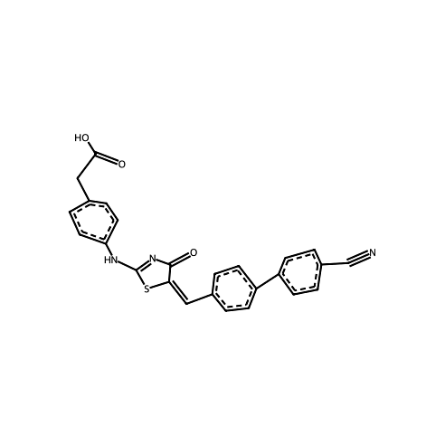 N#Cc1ccc(-c2ccc(C=C3SC(Nc4ccc(CC(=O)O)cc4)=NC3=O)cc2)cc1